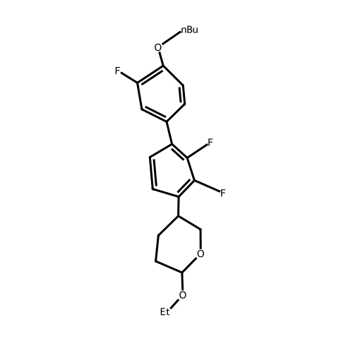 CCCCOc1ccc(-c2ccc(C3CCC(OCC)OC3)c(F)c2F)cc1F